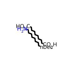 CCCCCCCCCCCCCCCCCCN.O=C(O)CCCCCCCCC(=O)O